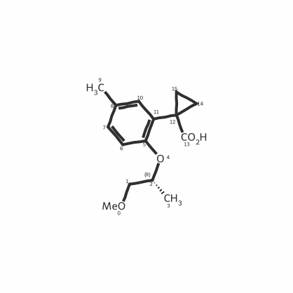 COC[C@@H](C)Oc1ccc(C)cc1C1(C(=O)O)CC1